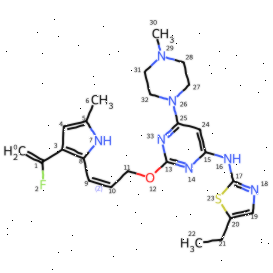 C=C(F)c1cc(C)[nH]c1/C=C\COc1nc(Nc2ncc(CC)s2)cc(N2CCN(C)CC2)n1